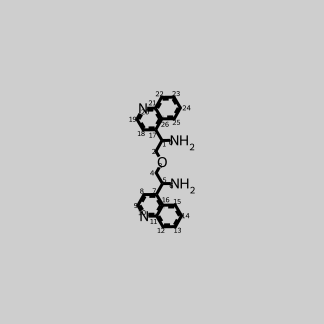 NC(COCC(N)c1ccnc2ccccc12)c1ccnc2ccccc12